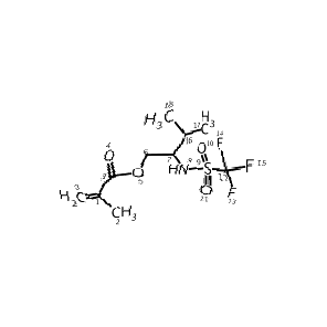 C=C(C)C(=O)OCC(NS(=O)(=O)C(F)(F)F)C(C)C